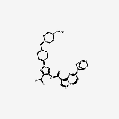 CCOC1CCN(CC2CCC(n3cc(NC(=O)c4cnn5ccc(N6CC7CC6CO7)nc45)c(C(F)F)n3)CC2)CC1